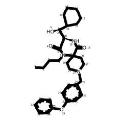 CCCCN1C(=O)[C@@H]([C@@H](O)C2CCCCC2)NC(=O)C12CCN(Cc1ccc(Oc3ccccc3)cc1)CC2